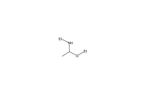 [CH2]COC(C)NCC